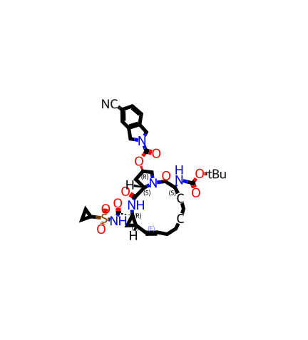 CC(C)(C)OC(=O)N[C@H]1CCCCC/C=C/[C@@H]2C[C@@]2(C(=O)NS(=O)(=O)C2CC2)NC(=O)[C@@H]2C[C@@H](OC(=O)N3Cc4ccc(C#N)cc4C3)CN2C1=O